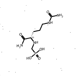 NC(=O)NCCC[C@H](NCP(=O)(O)O)C(N)=O